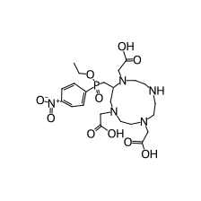 CCOP(=O)(CC1CN(CC(=O)O)CCN(CC(=O)O)CCNCCN1CC(=O)O)c1ccc([N+](=O)[O-])cc1